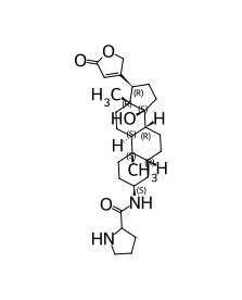 C[C@]12CC[C@H](NC(=O)C3CCCN3)C[C@H]1CC[C@@H]1[C@@H]2CC[C@]2(C)[C@@H](C3=CC(=O)OC3)CC[C@]12O